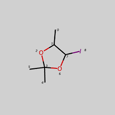 CC1OC(C)(C)OC1I